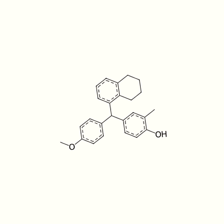 COc1ccc(C(c2ccc(O)c(C)c2)c2cccc3c2CCCC3)cc1